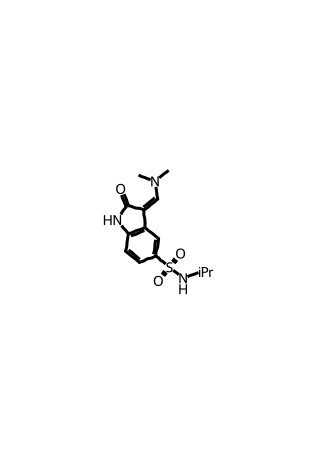 CC(C)NS(=O)(=O)c1ccc2c(c1)C(=CN(C)C)C(=O)N2